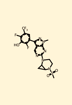 Cn1nc(-c2cc(C(F)(F)F)c(F)c(O)c2F)c2cnc(N3CCN(S(C)(=O)=O)C4CC43)nc21